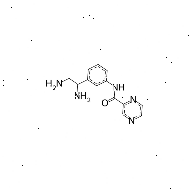 NCC(N)c1cccc(NC(=O)c2cnccn2)c1